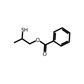 CC(S)COC(=O)c1ccccc1